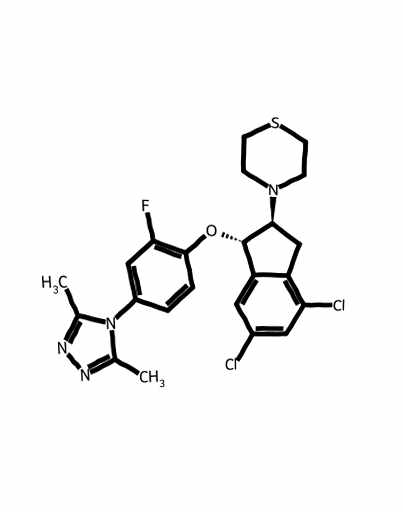 Cc1nnc(C)n1-c1ccc(O[C@H]2c3cc(Cl)cc(Cl)c3C[C@@H]2N2CCSCC2)c(F)c1